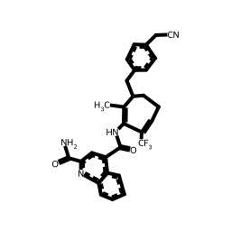 CC1=C(NC(=O)c2cc(C(N)=O)nc3ccccc23)C(C(F)(F)F)=CCCC1Cc1ccc(CC#N)cc1